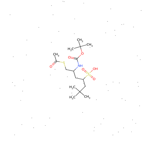 CC(=O)SCC(CC(CC(C)(C)C)S(=O)(=O)O)NC(=O)OC(C)(C)C